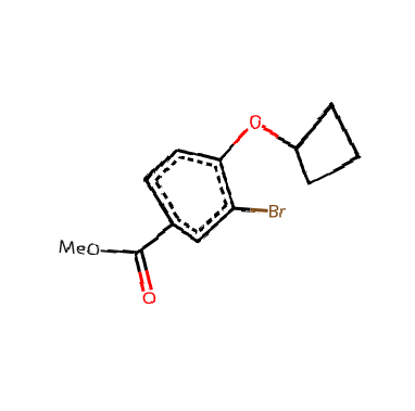 COC(=O)c1ccc(OC2CCC2)c(Br)c1